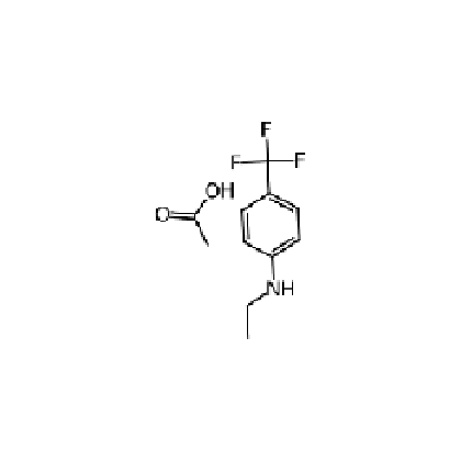 CC(=O)O.CCNc1ccc(C(F)(F)F)cc1